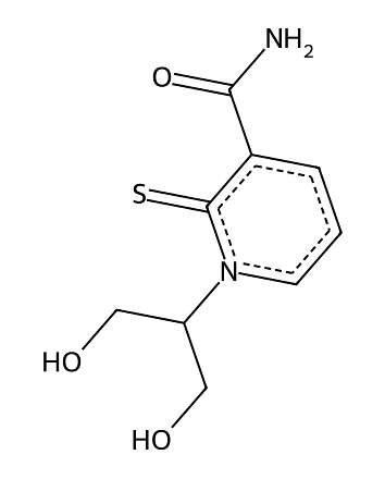 NC(=O)c1cccn(C(CO)CO)c1=S